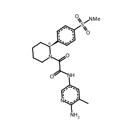 CNS(=O)(=O)c1ccc([C@@H]2CCCCN2C(=O)C(=O)Nc2cnc(N)c(C)c2)cc1